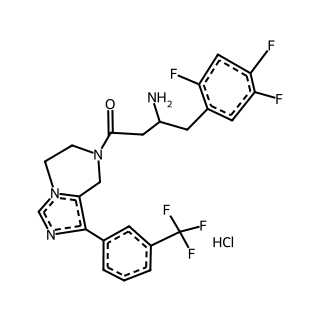 Cl.NC(CC(=O)N1CCn2cnc(-c3cccc(C(F)(F)F)c3)c2C1)Cc1cc(F)c(F)cc1F